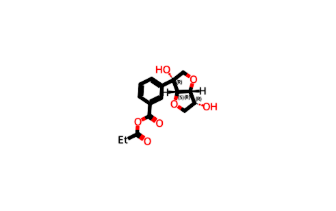 CCC(=O)OC(=O)c1cccc([C@@]2(O)CO[C@@H]3[C@H](O)CO[C@@H]32)c1